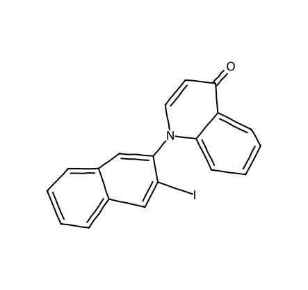 O=c1ccn(-c2cc3ccccc3cc2I)c2ccccc12